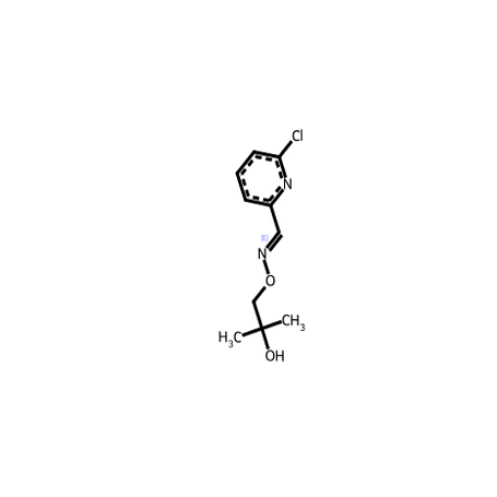 CC(C)(O)CO/N=C/c1cccc(Cl)n1